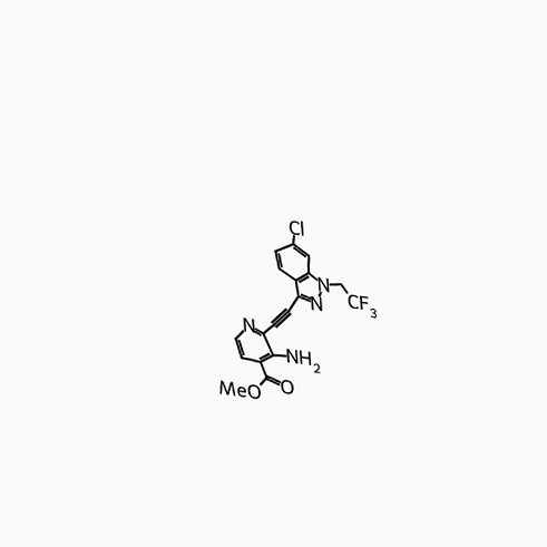 COC(=O)c1ccnc(C#Cc2nn(CC(F)(F)F)c3cc(Cl)ccc23)c1N